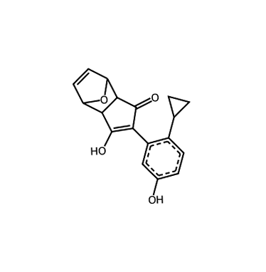 O=C1C(c2cc(O)ccc2C2CC2)=C(O)C2C3C=CC(O3)C12